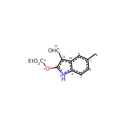 CCOC(=O)Oc1[nH]c2ccc(C)cc2c1C=O